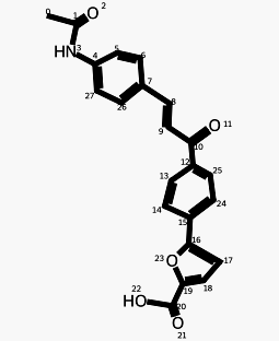 CC(=O)Nc1ccc(C=CC(=O)c2ccc(-c3ccc(C(=O)O)o3)cc2)cc1